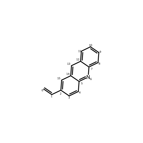 C=Cc1ccc2nc3ccccc3cc2c1